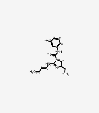 C=C/C=C/NC1=NC(CC)CN1C(=S)Nc1cccc(I)c1